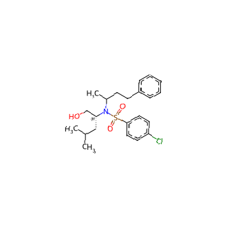 CC(C)C[C@H](CO)N(C(C)CCc1ccccc1)S(=O)(=O)c1ccc(Cl)cc1